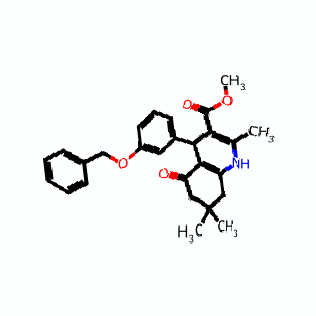 COC(=O)C1=C(C)NC2=C(C(=O)CC(C)(C)C2)C1c1cccc(OCc2ccccc2)c1